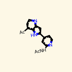 CC(=O)Nc1cc(-c2cc3nccc(C(C)=O)c3[nH]2)ccn1